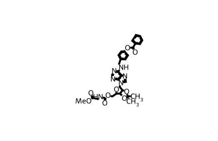 COC(=O)CNC(=O)OCC1OC(n2cnc3c(NCc4ccc(OC(=O)c5ccccc5)cc4)ncnc32)C2OC(C)(C)OC12